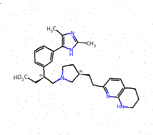 Cc1nc(C)c(-c2cccc([C@H](CC(=O)O)CN3CC[C@@H](CCc4ccc5c(n4)NCCC5)C3)c2)[nH]1